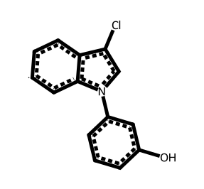 Oc1cccc(-n2cc(Cl)c3cc[c]cc32)c1